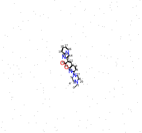 CCN1[C@H](C)CN(c2ccc3cc(-c4cn5ccccc5n4)c(=O)oc3n2)C[C@@H]1C